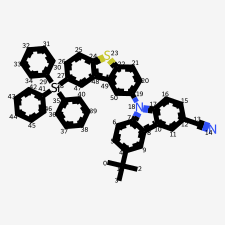 CC(C)(C)c1ccc2c(c1)c1cc(C#N)ccc1n2-c1ccc2sc3ccc([Si](c4ccccc4)(c4ccccc4)c4ccccc4)cc3c2c1